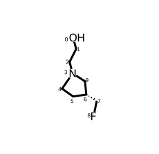 OCCN1CC[C@@H](CF)C1